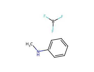 CNc1ccccc1.FB(F)F